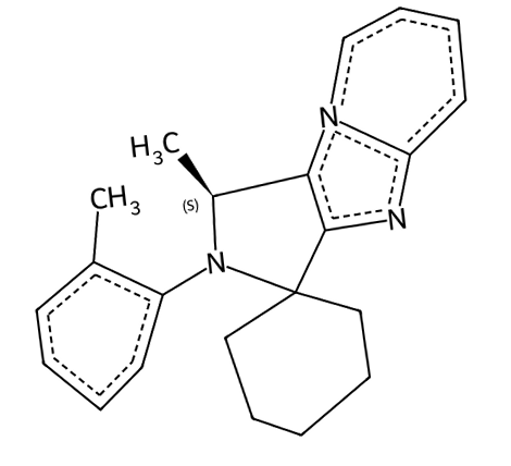 Cc1ccccc1N1[C@@H](C)c2c(nc3ccccn23)C12CCCCC2